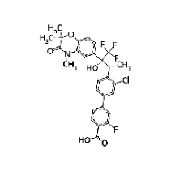 C[C@H](c1ccc(-c2ccc(C(=O)O)c(F)c2)cc1Cl)[C@@](O)(c1ccc2c(c1)N(C)C(=O)C(C)(C)O2)C(F)(F)F